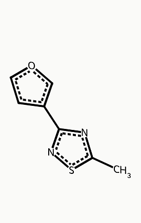 Cc1nc(-c2ccoc2)ns1